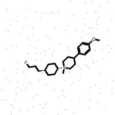 COc1ccc(C2CC[Si](C)([C@H]3CC[C@H](CCCF)CC3)CC2)cc1